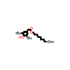 CCCCCCCCCCCCCCCCCCOC(=O)Cc1cc(C(C)(C)C)c(O)c(C(C)(C)C)c1